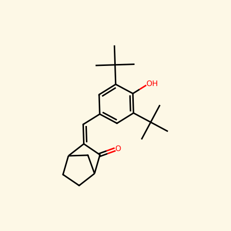 CC(C)(C)c1cc(C=C2C(=O)C3CCC2C3)cc(C(C)(C)C)c1O